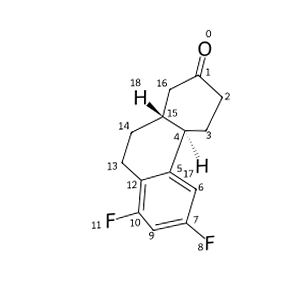 O=C1CC[C@H]2c3cc(F)cc(F)c3CC[C@@H]2C1